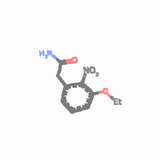 CCOc1cccc(CC(N)=O)c1[N+](=O)[O-]